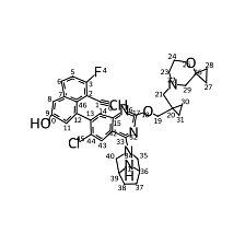 C#Cc1c(F)ccc2cc(O)cc(-c3cc4nc(OCC5(CN6CCOC7(CC7)C6)CC5)nc(N5CC6CCC(C5)N6)c4cc3Cl)c12